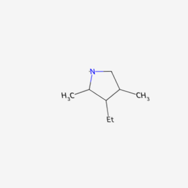 CCC1C(C)C[N]C1C